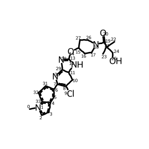 Cn1ccc2cc(C3=C(Cl)CC4NC(OC5CCN(C(=O)C(C)(C)CO)CC5)=NC4=N3)ccc21